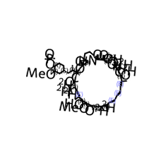 [2H]C([2H])([2H])O[C@H]1C[C@@H]2CC[C@@H](C)[C@@](O)(O2)C(=O)C(=O)N2CCCC[C@H]2C(=O)O[C@H]([C@H](C)C[C@@H]2CC[C@@H](OP(C)(C)=O)[C@H](OC)C2)CC(=O)[C@H](C([2H])([2H])[2H])/C=C(\C)[C@@H](O)[C@@H](OC)C(=O)[C@H](C)C([2H])(C)[C@]([2H])(C)/C=C/C=C/C=C/1C